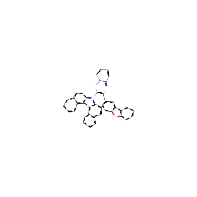 C1=CC2=NC(c3ccc4oc5ccccc5c4c3)=C(n3c4ccc5ccccc5c4c4c5ccccc5ccc43)NC2C=C1